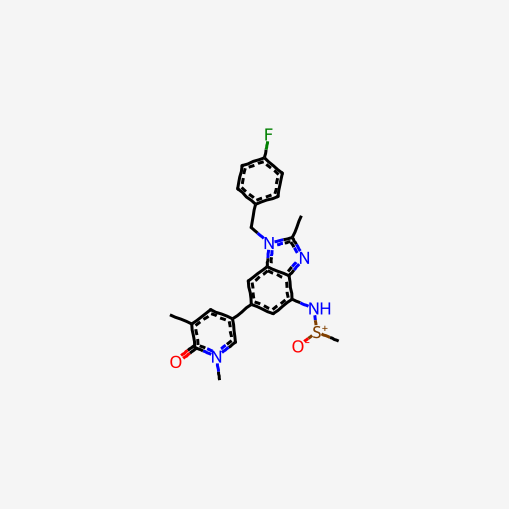 Cc1cc(-c2cc(N[S+](C)[O-])c3nc(C)n(Cc4ccc(F)cc4)c3c2)cn(C)c1=O